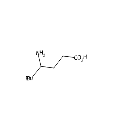 CCC(C)C(N)CCC(=O)O